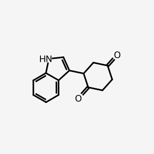 O=C1CCC(=O)C(c2c[nH]c3ccccc23)C1